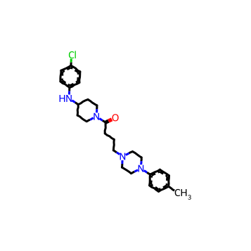 Cc1ccc(N2CCN(CCCC(=O)N3CCC(Nc4ccc(Cl)cc4)CC3)CC2)cc1